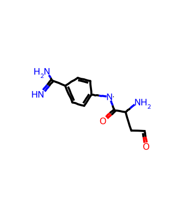 N=C(N)c1ccc([N]C(=O)C(N)CC=O)cc1